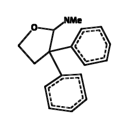 CNC1OCCC1(c1ccccc1)c1ccccc1